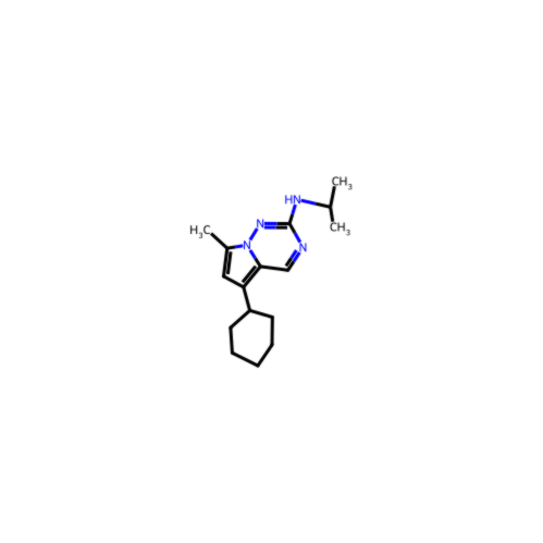 Cc1cc(C2CCCCC2)c2cnc(NC(C)C)nn12